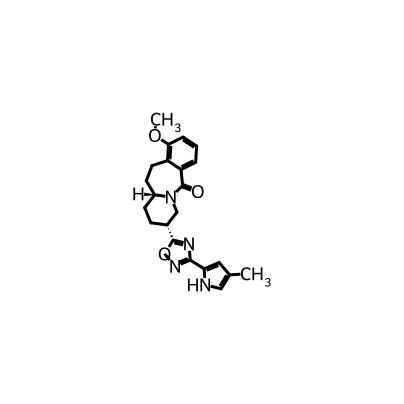 COc1cccc2c1CC[C@H]1CC[C@@H](c3nc(-c4cc(C)c[nH]4)no3)CN1C2=O